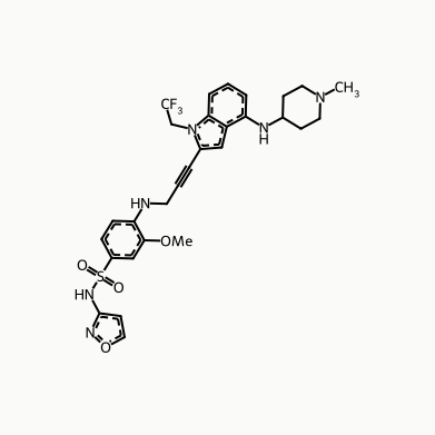 COc1cc(S(=O)(=O)Nc2ccon2)ccc1NCC#Cc1cc2c(NC3CCN(C)CC3)cccc2n1CC(F)(F)F